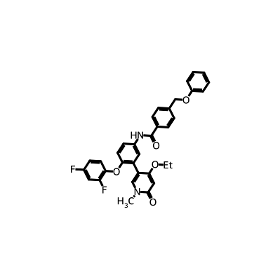 CCOc1cc(=O)n(C)cc1-c1cc(NC(=O)c2ccc(COc3ccccc3)cc2)ccc1Oc1ccc(F)cc1F